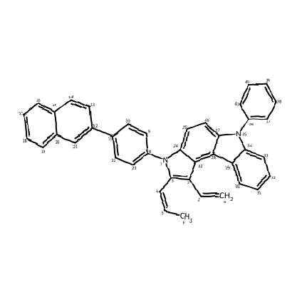 C=Cc1c(/C=C\C)n(-c2ccc(-c3ccc4ccccc4c3)cc2)c2ccc3c(c4ccccc4n3-c3ccccc3)c12